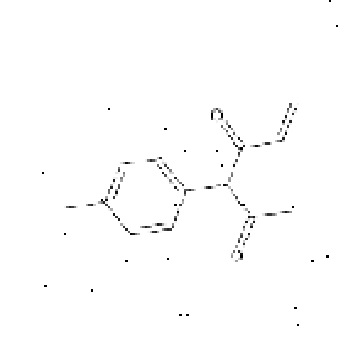 C=CC(=O)C(C(C)=O)c1ccc(C)cc1